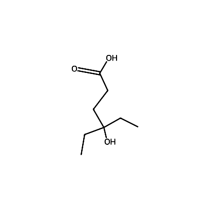 CCC(O)(CC)CCC(=O)O